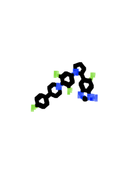 Fc1ccc(C2CCN(c3c(F)cc(N4CCCC4c4cc5nc[nH]c5cc4F)cc3F)CC2)cc1